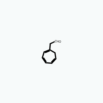 O=CCC1=CC=CC=CC1